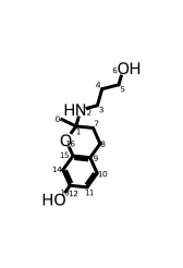 CC1(NCCCO)CCc2ccc(O)cc2O1